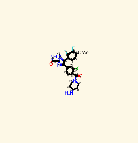 COc1ccc(-c2c(-c3ccc(C(=O)N4CCC(N)CC4)c(Cl)c3)nc(C(N)=O)n2C)c(F)c1F